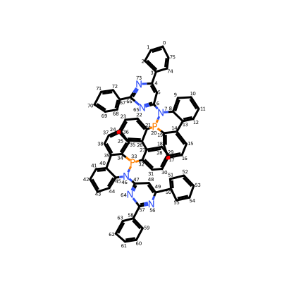 c1ccc(-c2cc(N3c4ccccc4-c4ccccc4P3c3ccccc3-c3ccccc3P3c4ccccc4-c4ccccc4N3c3cc(-c4ccccc4)nc(-c4ccccc4)n3)nc(-c3ccccc3)n2)cc1